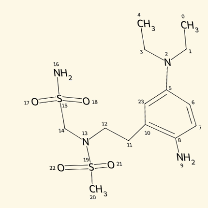 CCN(CC)c1ccc(N)c(CCN(CS(N)(=O)=O)S(C)(=O)=O)c1